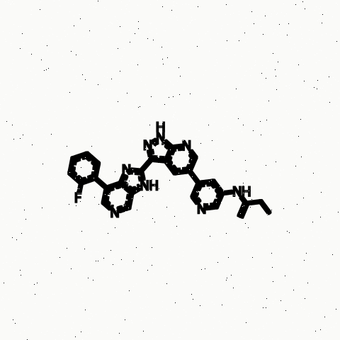 C=C(CC)Nc1cncc(-c2cnc3[nH]nc(-c4nc5c(-c6ccccc6F)cncc5[nH]4)c3c2)c1